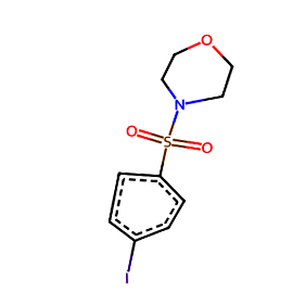 O=S(=O)(c1ccc(I)cc1)N1CCOCC1